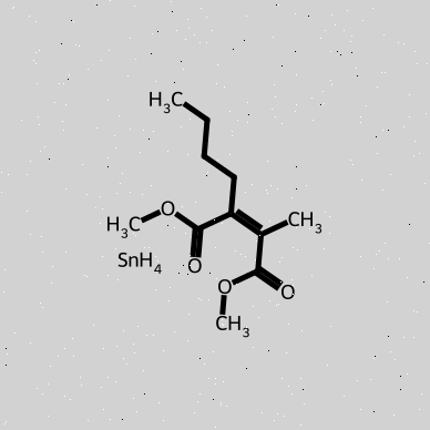 CCCC/C(C(=O)OC)=C(\C)C(=O)OC.[SnH4]